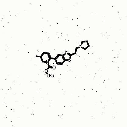 C[C@H]1CC=C(c2ccc3sc([C@@H](C)CN4CCCC4)nc3c2)N(C(=O)OC(C)(C)C)C1